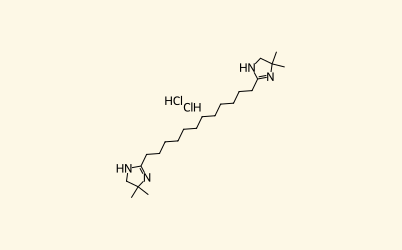 CC1(C)CNC(CCCCCCCCCCCCC2=NC(C)(C)CN2)=N1.Cl.Cl